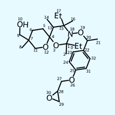 CCC1(C)OC2(CCC(C)(CO)CO2)C(C)C(C)(CC)N1OC(C)c1ccc(OCC2CO2)cc1